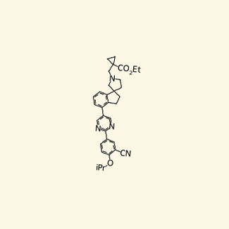 CCOC(=O)C1(CN2CCC3(CCc4c(-c5cnc(-c6ccc(OC(C)C)c(C#N)c6)nc5)cccc43)C2)CC1